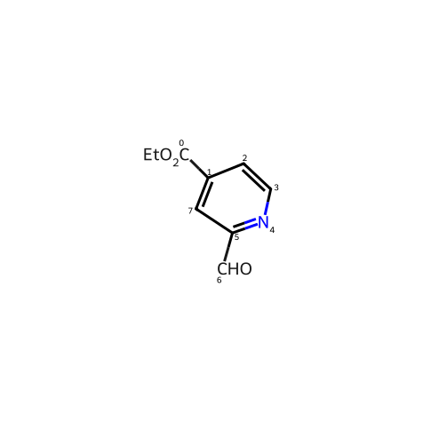 CCOC(=O)c1ccnc(C=O)c1